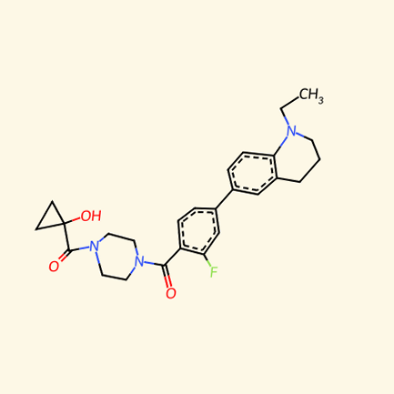 CCN1CCCc2cc(-c3ccc(C(=O)N4CCN(C(=O)C5(O)CC5)CC4)c(F)c3)ccc21